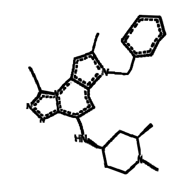 Cc1cc2c(cc(N[C@@H]3CCN(C)[C@H](C)C3)c3nnc(C)n32)n1Cc1ccccc1